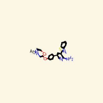 CC(=O)N1CCOC(Oc2ccc(-c3cnc(N)c(-c4nc5ccccc5s4)c3)cc2)C1